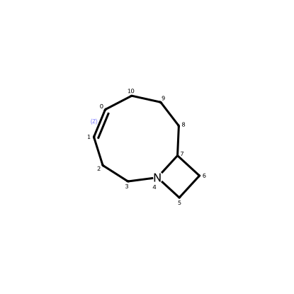 C1=C\CCN2CCC2CCC/1